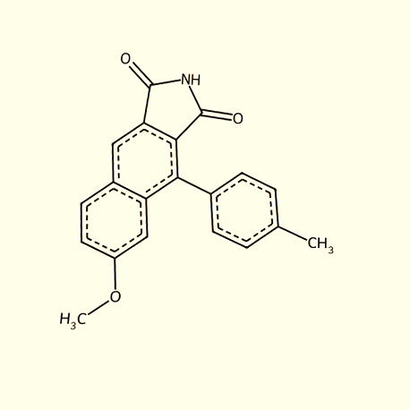 COc1ccc2cc3c(c(-c4ccc(C)cc4)c2c1)C(=O)NC3=O